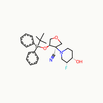 CC(C)(C)[Si](O[C@H]1COC[C@@]1(C#N)N1CC[C@H](O)[C@H](F)C1)(c1ccccc1)c1ccccc1